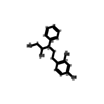 OCC(O)N(CCc1ccc(O)cc1O)c1ccccc1